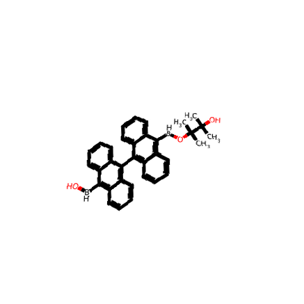 CC(C)(O)C(C)(C)OBc1c2ccccc2c(-c2c3ccccc3c(BO)c3ccccc23)c2ccccc12